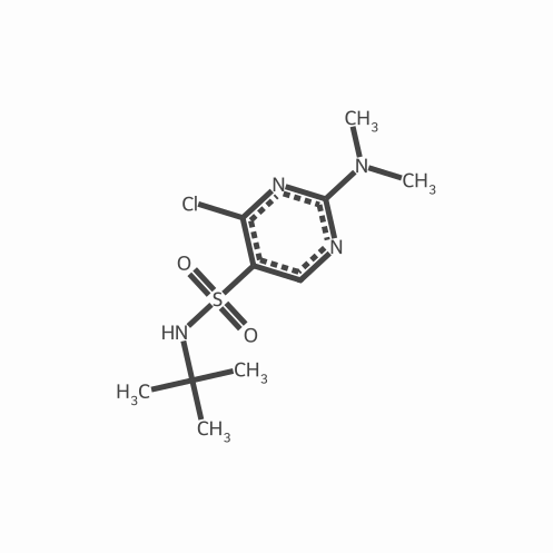 CN(C)c1ncc(S(=O)(=O)NC(C)(C)C)c(Cl)n1